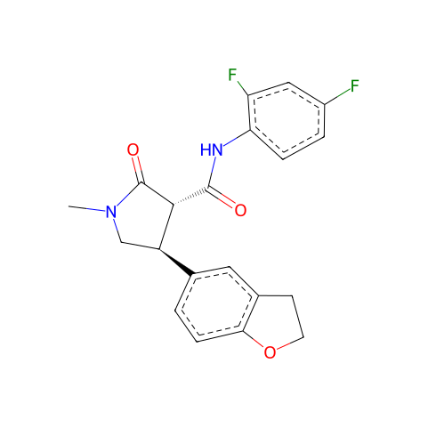 CN1C[C@H](c2ccc3c(c2)CCO3)[C@@H](C(=O)Nc2ccc(F)cc2F)C1=O